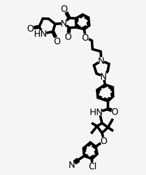 CC1(C)C(NC(=O)c2ccc(N3CCN(CCCOc4cccc5c4C(=O)N(C4CCC(=O)NC4=O)C5=O)CC3)cc2)C(C)(C)C1Oc1ccc(C#N)c(Cl)c1